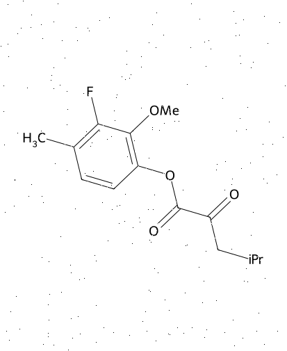 COc1c(OC(=O)C(=O)CC(C)C)ccc(C)c1F